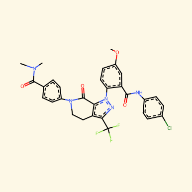 COc1ccc(-n2nc(C(F)(F)F)c3c2C(=O)N(c2ccc(C(=O)N(C)C)cc2)CC3)c(C(=O)Nc2ccc(Cl)cc2)c1